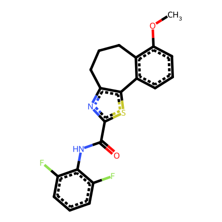 COc1cccc2c1CCCc1nc(C(=O)Nc3c(F)cccc3F)sc1-2